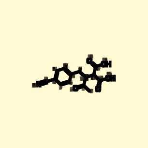 CC(=O)N(Cc1ccc(C#N)cc1)C(C(=O)O)C(=O)O